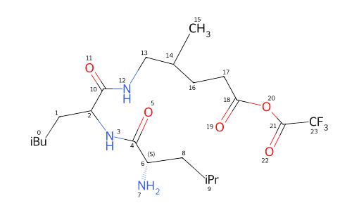 CCC(C)CC(NC(=O)[C@@H](N)CC(C)C)C(=O)NCC(C)CCC(=O)OC(=O)C(F)(F)F